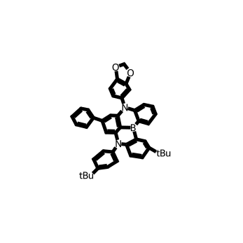 CC(C)(C)c1ccc(N2c3ccc(C(C)(C)C)cc3B3c4ccccc4N(c4ccc5c(c4)OCO5)c4cc(-c5ccccc5)cc2c43)cc1